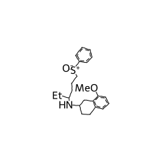 CCC(CCC[S+]([O-])c1ccccc1)NC1CCc2cccc(OC)c2C1